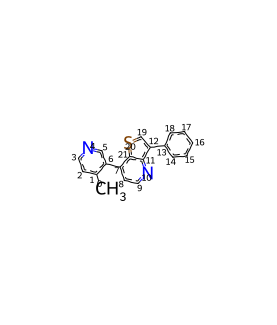 Cc1ccncc1-c1ccnc2c(-c3ccccc3)csc12